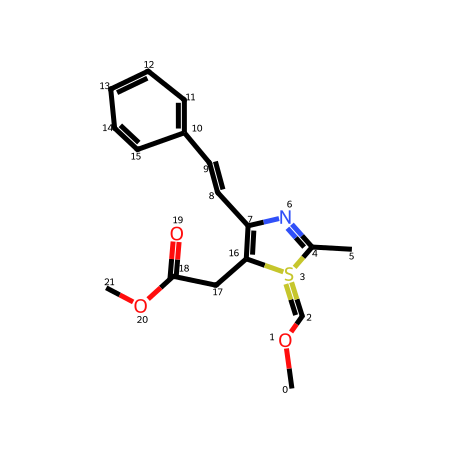 COC=S1C(C)=NC(C=Cc2ccccc2)=C1CC(=O)OC